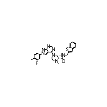 Cc1ccc(-n2cc3c(N4CCN(C)C(C(=O)NCc5cc6ccccc6s5)C4)ncnc3n2)cc1F